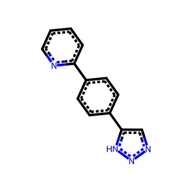 c1ccc(-c2ccc(-c3cnn[nH]3)cc2)nc1